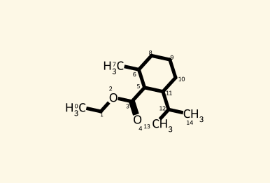 CCOC(=O)C1C(C)CCCC1C(C)C